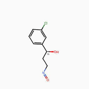 O=NCC[C@H](O)c1cccc(Cl)c1